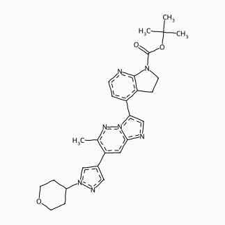 Cc1nn2c(-c3ccnc4c3CCN4C(=O)OC(C)(C)C)cnc2cc1-c1cnn(C2CCOCC2)c1